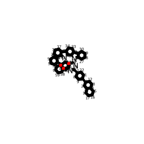 c1ccc(-c2nc(-c3ccc(-c4ccc5ccccc5c4)cc3)nc(-n3c4ccccc4c4ccc5c6ccccc6n(-c6ccccc6-c6ccccc6)c5c43)n2)cc1